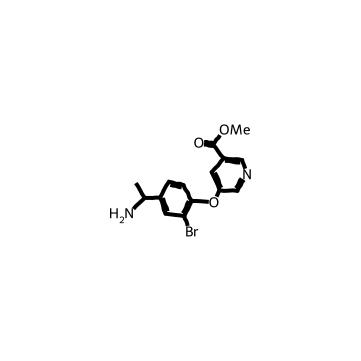 COC(=O)c1cncc(Oc2ccc(C(C)N)cc2Br)c1